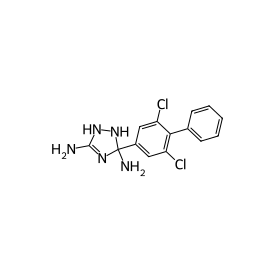 NC1=NC(N)(c2cc(Cl)c(-c3ccccc3)c(Cl)c2)NN1